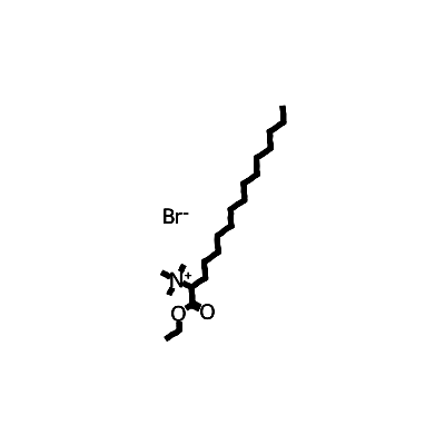 CCCCCCCCCCCCCCC(C(=O)OCC)[N+](C)(C)C.[Br-]